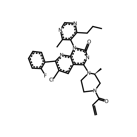 C=CC(=O)N1CCN(c2nc(=O)n(-c3c(C)ncnc3CCC)c3nc(-c4ccccc4F)c(Cl)cc23)[C@@H](C)C1